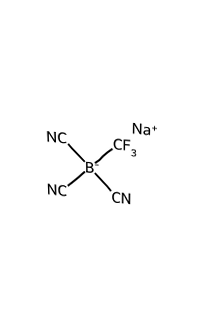 N#C[B-](C#N)(C#N)C(F)(F)F.[Na+]